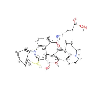 O=C(O)CCCNC(=O)c1ccccc1C1=C(c2nc3ccccc3s2)C(O)Oc2c1cc1c3c2CCCN3CCC1